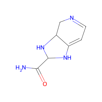 NC(=O)C1NC2=CC=NCC2N1